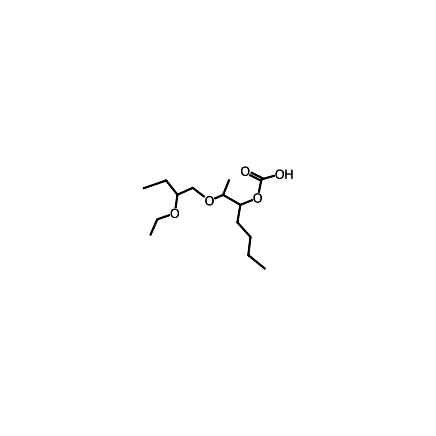 CCCCC(OC(=O)O)C(C)OCC(CC)OCC